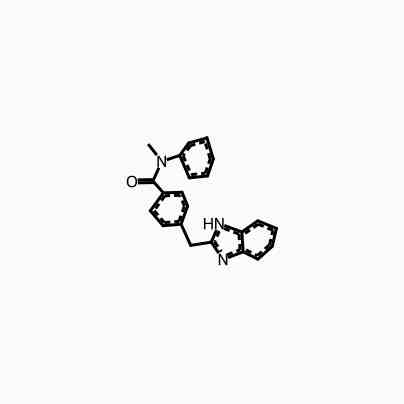 CN(C(=O)c1ccc(Cc2nc3ccccc3[nH]2)cc1)c1ccccc1